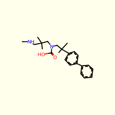 CNCC(C)(C)CN(CC(C)(C)c1ccc(-c2ccccc2)cc1)C(=O)O